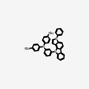 CC(C)(C)c1ccc(N(c2ccc(C(C)(C)C)cc2)c2cccc(-n3c4ccccc4c4ccc5c(ccn5-c5ccccc5)c43)c2)cc1